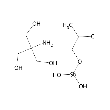 CC(Cl)C[O][Sb]([OH])[OH].NC(CO)(CO)CO